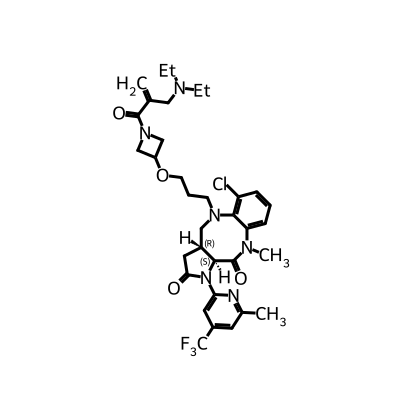 C=C(CN(CC)CC)C(=O)N1CC(OCCCN2C[C@H]3CC(=O)N(c4cc(C(F)(F)F)cc(C)n4)[C@@H]3C(=O)N(C)c3cccc(Cl)c32)C1